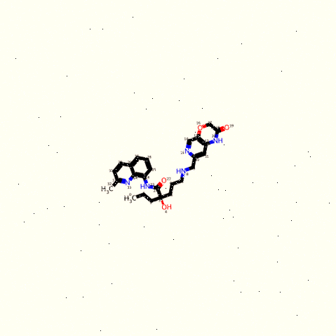 CCC[C@@](O)(CCCNCc1cc2c(cn1)OCC(=O)N2)C(=O)Nc1cccc2ccc(C)nc12